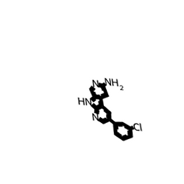 Nc1cc2c(cn1)[nH]c1ncc(-c3cccc(Cl)c3)cc12